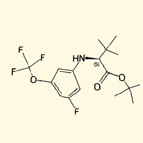 CC(C)(C)OC(=O)[C@@H](Nc1cc(F)cc(OC(F)(F)F)c1)C(C)(C)C